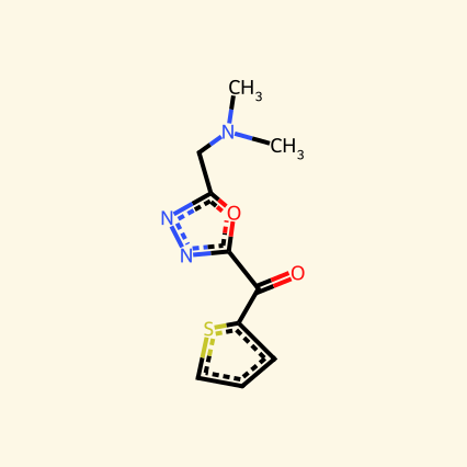 CN(C)Cc1nnc(C(=O)c2cccs2)o1